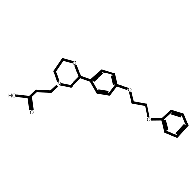 O=C(O)CCN1CCOC(c2ccc(OCCOc3ccccc3)cc2)C1